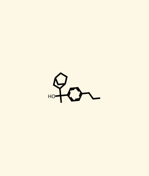 CCCc1ccc(C(C)(O)C2CC3CCC2C3)cc1